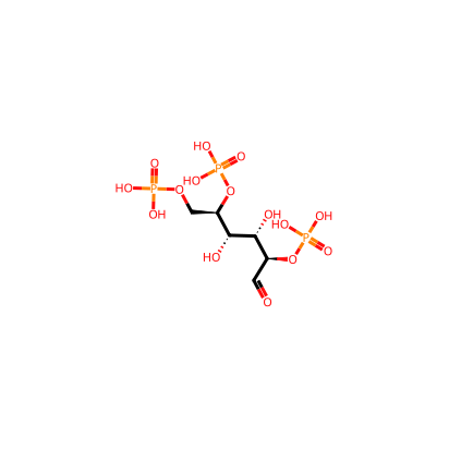 O=C[C@H](OP(=O)(O)O)[C@@H](O)[C@H](O)[C@@H](COP(=O)(O)O)OP(=O)(O)O